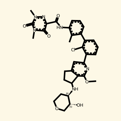 COc1nc(-c2cccc(-c3cccc(NC(=O)c4nn(C)c(=O)n(C)c4=O)c3C)c2Cl)cc2c1C(N[C@@H]1CCOC[C@H]1O)CC2